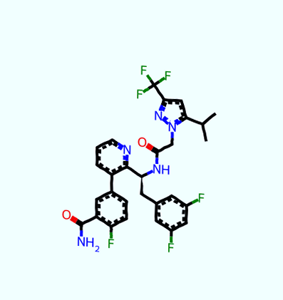 CC(C)c1cc(C(F)(F)F)nn1CC(=O)N[C@@H](Cc1cc(F)cc(F)c1)c1ncccc1-c1ccc(F)c(C(N)=O)c1